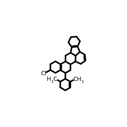 CC1=CCCC(C)C1C1CC2C(CC3C4=C(CCCC4)C4C=CCC2C43)C2=C1CC(Cl)CC2